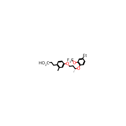 CCc1ccc(O[C@H](C)CCOc2ccc(CCC(=O)O)c(C)c2)c(OC(F)(F)F)c1